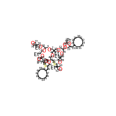 CCC(COC(COCC(CC)(COCC(COCC1(CC)COC1)OCC(CC1CCCCCCCCCC1)OC(=O)C(C)C)COCC(CSCC1(CC)COC1)OCC(CC1CCCCCCCCCC1)SC(=O)C(C)C)COCC1(CC)COC1)OC(=O)C(C)C